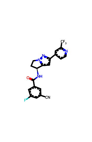 N#Cc1cc(F)cc(C(=O)N[C@H]2CCn3nc(-c4ccnc(C(F)(F)F)c4)cc32)c1